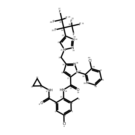 Cc1cc(Cl)cc(C(=O)NC2CC2)c1NC(=O)c1cc(Cn2cc(C(F)(C(F)(F)F)C(F)(F)F)nn2)nn1-c1ncccc1Cl